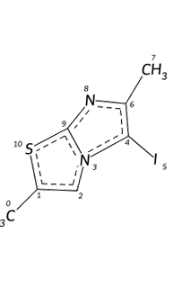 Cc1cn2c(I)c(C)nc2s1